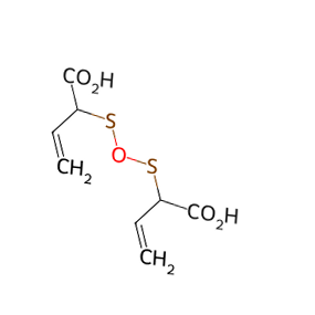 C=CC(SOSC(C=C)C(=O)O)C(=O)O